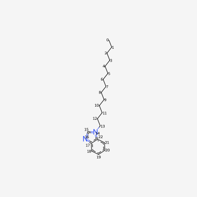 CCCCCCCCCCCCCCn1cnc2ccccc21